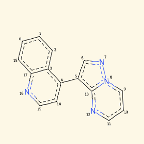 c1ccc2c(-c3cnn4cccnc34)ccnc2c1